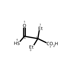 CCC(CC)(C(=O)O)C(=O)S